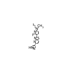 CCN(CCI)c1ccc(-c2nc3nc(-c4cn[nH]c4)ccc3s2)c(F)n1